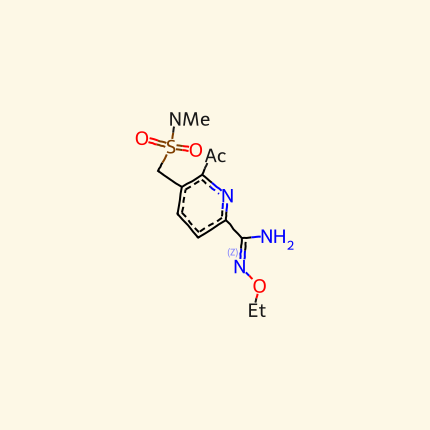 CCO/N=C(\N)c1ccc(CS(=O)(=O)NC)c(C(C)=O)n1